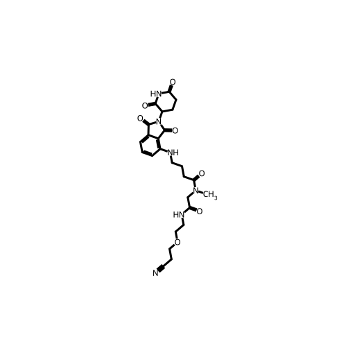 CN(CC(=O)NCCOCCC#N)C(=O)CCCNc1cccc2c1C(=O)N(C1CCC(=O)NC1=O)C2=O